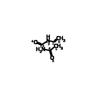 C=CNC=O.CC(N)=O